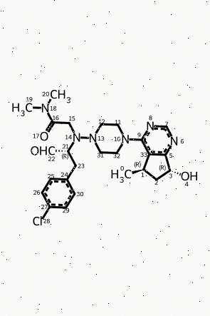 C[C@@H]1C[C@@H](O)c2ncnc(N3CCN(N(CC(=O)N(C)C)[C@@H](C=O)Cc4ccc(Cl)cc4)CC3)c21